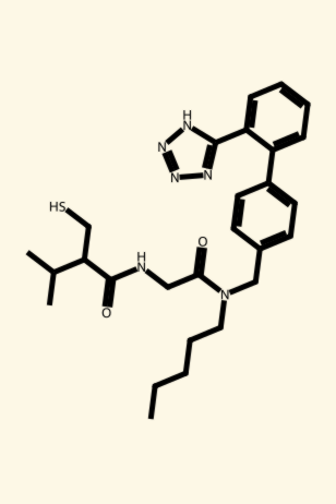 CCCCCN(Cc1ccc(-c2ccccc2-c2nnn[nH]2)cc1)C(=O)CNC(=O)C(CS)C(C)C